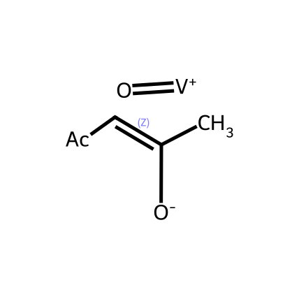 CC(=O)/C=C(/C)[O-].[O]=[V+]